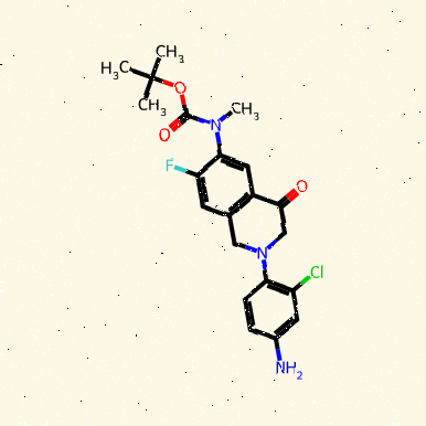 CN(C(=O)OC(C)(C)C)c1cc2c(cc1F)CN(c1ccc(N)cc1Cl)CC2=O